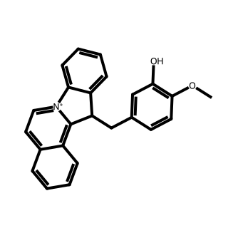 COc1ccc(CC2c3ccccc3-[n+]3ccc4ccccc4c32)cc1O